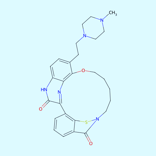 CN1CCN(CCc2ccc3[nH]c(=O)c4nc3c2OCCCCCn2sc3c-4cccc3c2=O)CC1